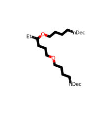 [CH2]CC(CCCOCCCCCCCCCCCCCC)OCCCCCCCCCCCCCC